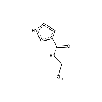 O=C(NCC(F)(F)F)c1cc[nH]c1